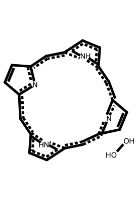 C1=Cc2cc3ccc(cc4nc(cc5ccc(cc1n2)[nH]5)C=C4)[nH]3.OO